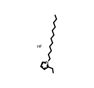 CCCCCCCCCCCCn1cccc1CC.F